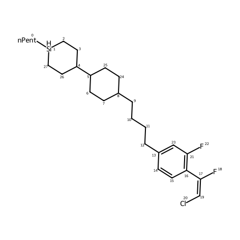 CCCCC[SiH]1CCC(C2CCC(CCCCc3ccc(/C(F)=C\Cl)c(F)c3)CC2)CC1